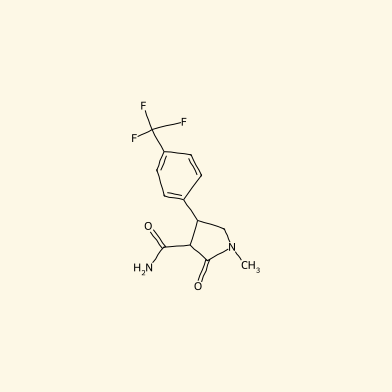 CN1CC(c2ccc(C(F)(F)F)cc2)C(C(N)=O)C1=O